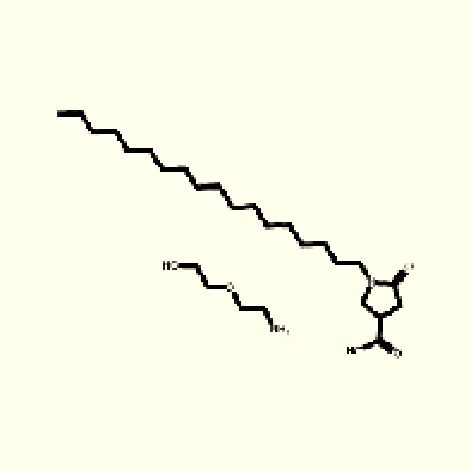 CCCCCCCCC=CCCCCCCCCN1CC(C(=O)O)CC1=O.NCCOCCO